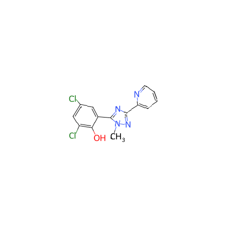 Cn1nc(-c2ccccn2)nc1-c1cc(Cl)cc(Cl)c1O